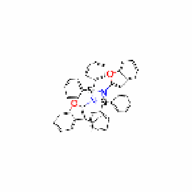 CC(C)c1c(N2[Si](c3ccccc3)(c3ccccc3)N(c3cc4ccccc4o3)[Si]2(c2ccccc2)c2ccccc2)oc2ccccc12